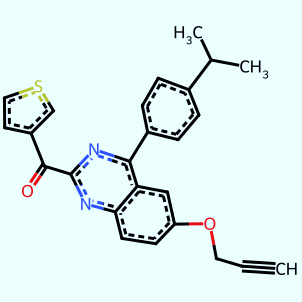 C#CCOc1ccc2nc(C(=O)c3ccsc3)nc(-c3ccc(C(C)C)cc3)c2c1